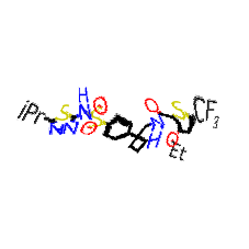 CCOc1cc(C(F)(F)F)sc1C(=O)NCC1(c2ccc(S(=O)(=O)Nc3nnc(C(C)C)s3)cc2)CCC1